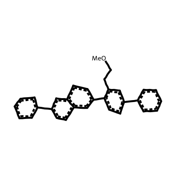 COCCc1cc(-c2ccccc2)ccc1-c1ccc2cc(-c3ccccc3)ccc2c1